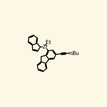 CCCCC#Cc1cc2c([c]([Zr]([CH2]C)[CH]3C=Cc4ccccc43)c1)Cc1ccccc1-2